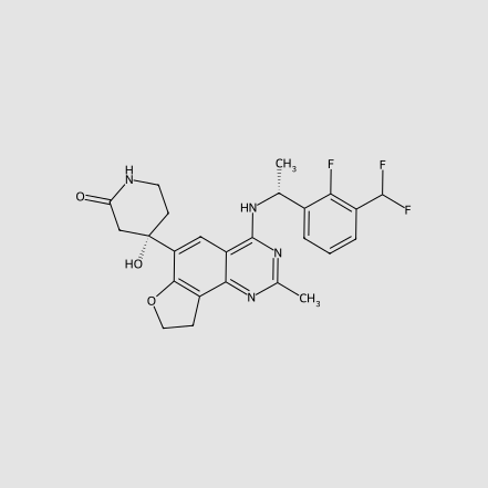 Cc1nc(N[C@H](C)c2cccc(C(F)F)c2F)c2cc([C@]3(O)CCNC(=O)C3)c3c(c2n1)CCO3